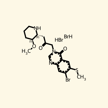 Br.Br.CO[C@H]1CCCN[C@@H]1CC(=O)Cn1cnc2cc(Br)c(SC)cc2c1=O